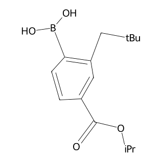 CC(C)OC(=O)c1ccc(B(O)O)c(CC(C)(C)C)c1